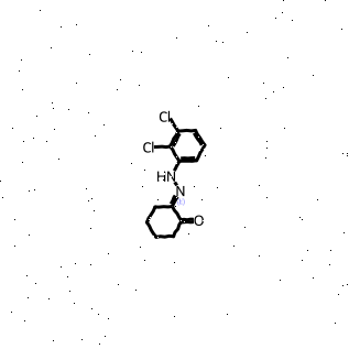 O=C1CCCC/C1=N\Nc1cccc(Cl)c1Cl